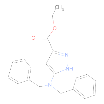 CCOC(=O)c1cc(N(Cc2ccccc2)Cc2ccccc2)[nH]n1